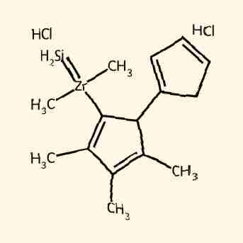 CC1=C(C)C(C2=CC=CC2)[C]([Zr]([CH3])([CH3])=[SiH2])=C1C.Cl.Cl